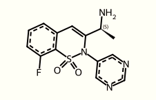 C[C@H](N)C1=Cc2cccc(F)c2S(=O)(=O)N1c1cncnc1